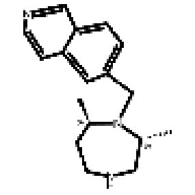 C[C@@H]1CCNC[C@@H](C)N1Cc1ccc2cnccc2c1